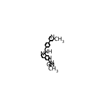 Cc1cc(-c2ccc(CNc3nccc4cc(-c5nnc(C)o5)ncc34)cc2)ccn1